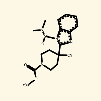 CN(C)[S+]([O-])n1c(C2(C#N)CCN(C(=O)OC(C)(C)C)CC2)nc2ccccc21